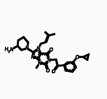 CC(C)=CCn1c(N2CCCC(N)C2)nc2c1c(=O)n(CC(=O)c1cccc(OC3CC3)c1)c(=O)n2C